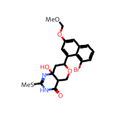 COCOc1cc(C2CC3(O)N=C(SC)NC(=O)C3CO2)c2c(Br)cccc2c1